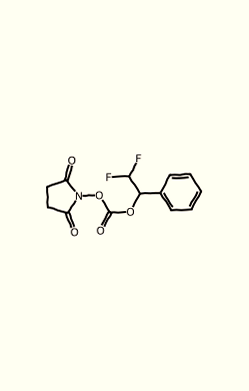 O=C(OC(c1ccccc1)C(F)F)ON1C(=O)CCC1=O